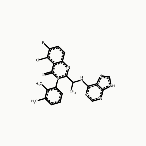 Cc1cccc(-n2c(C(C)Nc3ncnc4[nH]cnc34)nc3ccc(F)c(Cl)c3c2=O)c1C